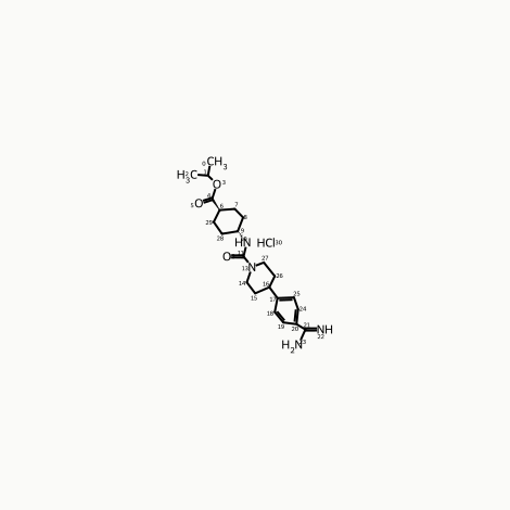 CC(C)OC(=O)[C@H]1CC[C@H](NC(=O)N2CCC(c3ccc(C(=N)N)cc3)CC2)CC1.Cl